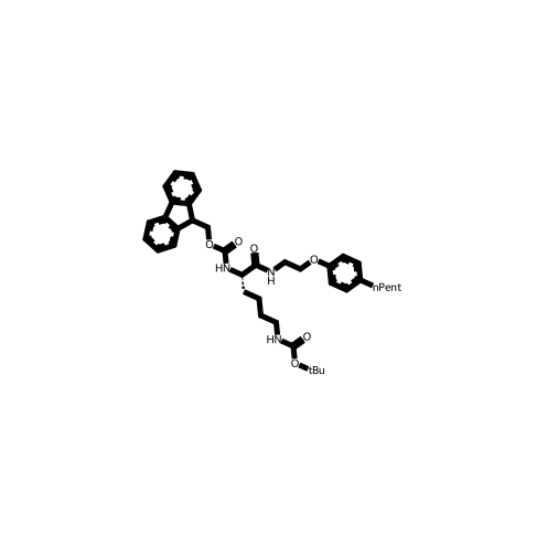 CCCCCc1ccc(OCCNC(=O)[C@H](CCCCNC(=O)OC(C)(C)C)NC(=O)OCC2c3ccccc3-c3ccccc32)cc1